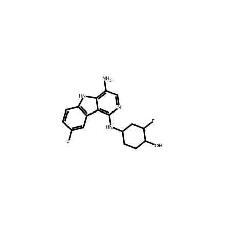 Nc1cnc(NC2CCC(O)C(F)C2)c2c1[nH]c1ccc(F)cc12